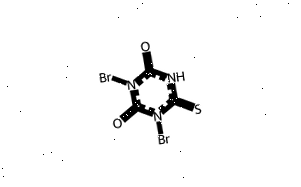 O=c1[nH]c(=S)n(Br)c(=O)n1Br